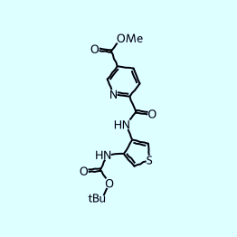 COC(=O)c1ccc(C(=O)Nc2cscc2NC(=O)OC(C)(C)C)nc1